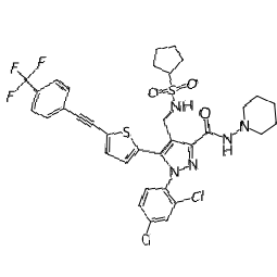 O=C(NN1CCCCC1)c1nn(-c2ccc(Cl)cc2Cl)c(-c2ccc(C#Cc3ccc(C(F)(F)F)cc3)s2)c1CNS(=O)(=O)C1CCCC1